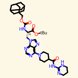 CC(C)(C)OC(=O)[C@H](Cn1cnc2c(N3CCC(C(=O)NC4=NCCCN4)CC3)ncnc21)NC(=O)OCC12CC3CC(CC(C3)C1)C2